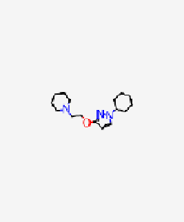 c1cn(C2CCCCC2)nc1OCCN1CCCCC1